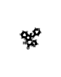 CC1(Cc2ccncc2)c2ccccc2-c2[nH]c(=O)c3nccn3c21